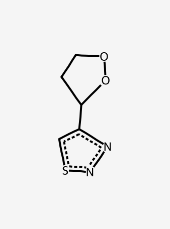 c1snnc1C1CCOO1